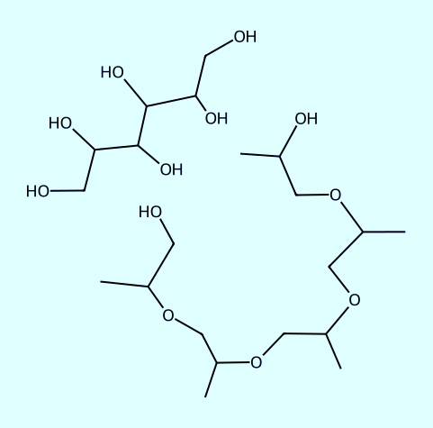 CC(O)COC(C)COC(C)COC(C)COC(C)CO.OCC(O)C(O)C(O)C(O)CO